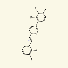 Cc1ccc(-c2ccc(/C=C/c3cccc(F)c3F)cc2)c(F)c1F